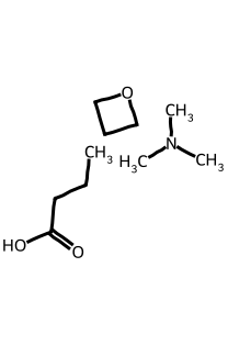 C1COC1.CCCC(=O)O.CN(C)C